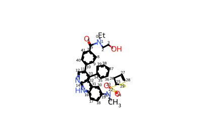 CCN(CCO)C(=O)c1ccc(-c2cnc3[nH]c4ccc(N(C)S(=O)(=O)C5CC=CS5)cc4c3c2-c2ccccc2)cc1